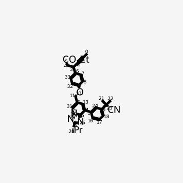 CC#CC(CC(=O)OCC)c1ccc(OCc2cc(-c3cccc(C(C)(C)C#N)c3)c3nc(C(C)C)nn3c2)cc1